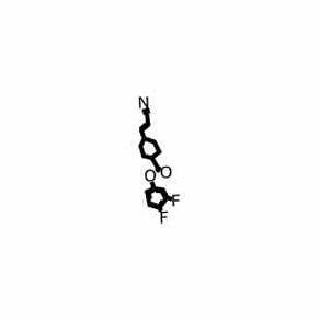 N#C/C=C/C1CCC(C(=O)Oc2ccc(F)c(F)c2)CC1